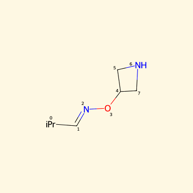 CC(C)/C=N/OC1CNC1